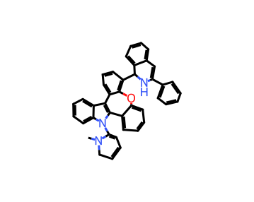 CN1CC=CC=C1n1c2c(c3ccccc31)-c1cccc(C3NC(c4ccccc4)=Cc4ccccc43)c1Oc1ccccc1-2